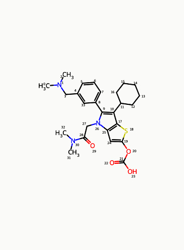 CN(C)Cc1cccc(-c2c(C3CCCCC3)c3sc(OC(=O)O)cc3n2CC(=O)N(C)C)c1